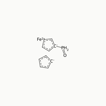 O=[PH2][c-]1cccc1.[Fe+2].c1cc[cH-]c1